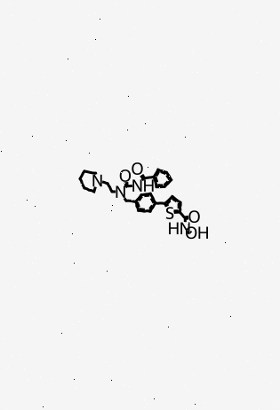 O=C(NC(=O)N(CCN1CCCCC1)Cc1ccc(-c2ccc(C(=O)NO)s2)cc1)c1ccccc1